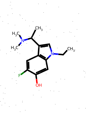 CCn1cc(C(C)N(C)C)c2cc(F)c(O)cc21